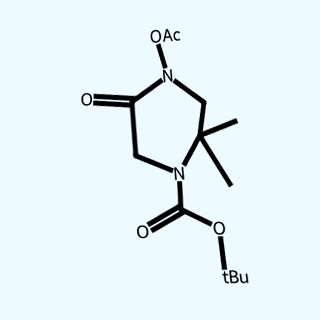 CC(=O)ON1CC(C)(C)N(C(=O)OC(C)(C)C)CC1=O